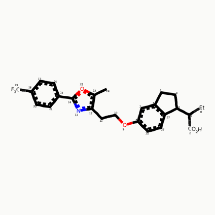 CCC(C(=O)O)C1CCc2cc(OCCc3nc(-c4ccc(C(F)(F)F)cc4)oc3C)ccc21